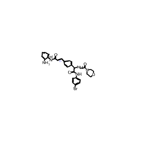 Nc1ccccc1NC(=O)/C=C/c1ccc(C(NCC(=O)N2CCOCC2)C(=O)Nc2ccc(Br)cc2)cc1